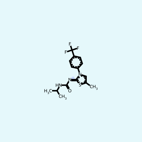 Cc1cn(-c2ccc(C(F)(F)F)cc2)/c(=N/C(=O)NC(C)C)s1